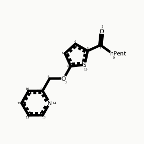 CCCCCC(=O)c1ccc(OCc2ccccn2)s1